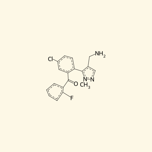 Cn1ncc(CN)c1-c1ccc(Cl)cc1C(=O)c1ccccc1F